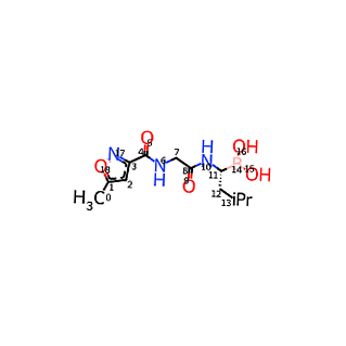 Cc1cc(C(=O)NCC(=O)N[C@@H](CC(C)C)B(O)O)no1